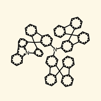 c1ccc2c(c1)-c1ccccc1C21c2ccccc2-c2ccc(N(c3ccc4c(c3)C3(c5ccccc5-c5ccccc53)c3ccccc3-4)c3ccc4c(c3)C3(c5ccccc5-4)c4ccccc4-n4c5ccccc5c5cccc3c54)cc21